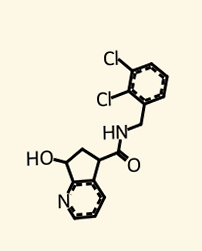 O=C(NCc1cccc(Cl)c1Cl)C1CC(O)c2ncccc21